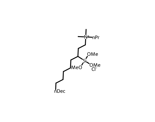 CCCCCCCCCCCCCCCC(CC[N+](C)(C)CCC)[Si](OC)(OC)OC.[Cl-]